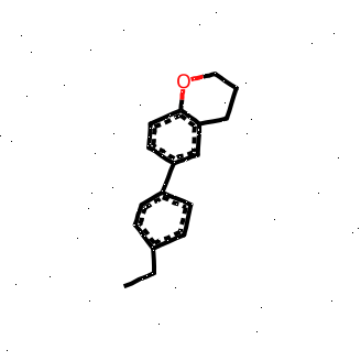 CCc1ccc(-c2ccc3c(c2)CCCO3)cc1